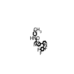 CN1CCC(NC(=O)c2cnc3ccc(-c4cccnc4-c4cc(F)c(F)cc4F)cn23)CC1